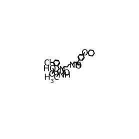 CC1=C(C(=O)O)C(c2cccc(Cl)c2)N(CCCNCC(=O)c2ccc(OC3CCCCC3)cc2)C(=O)N1